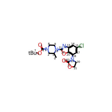 CC1CN(C(=O)OC(C)(C)C)CCN1c1nc2cc(Cl)cc(N3CCOC3=O)c2o1